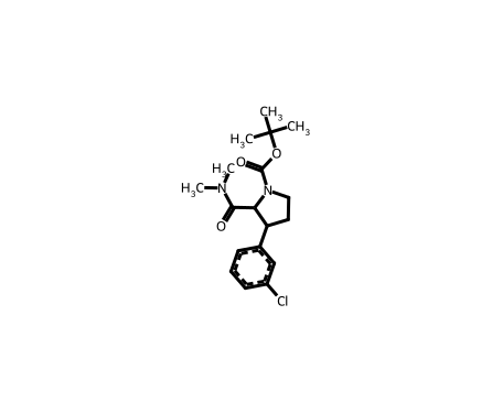 CN(C)C(=O)C1C(c2cccc(Cl)c2)CCN1C(=O)OC(C)(C)C